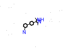 Cc1n[nH]c(C)c1-c1ccc(-c2cccc(C#N)c2)cc1